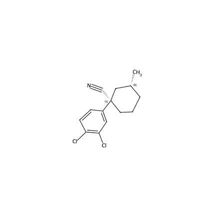 C[C@@H]1CCC[C@@](C#N)(c2ccc(Cl)c(Cl)c2)C1